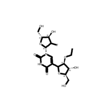 CCO[C@@H]1C(c2cn([C@@H]3O[C@H](CO)[C@@H](O)C3F)c(=O)[nH]c2=O)O[C@H](CO)[C@H]1O